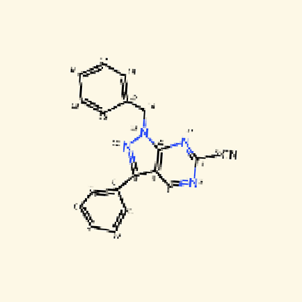 N#Cc1ncc2c(-c3ccccc3)nn(Cc3ccccc3)c2n1